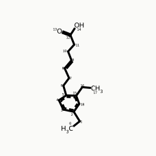 CCc1ccc(CCC=CCCC(=O)O)c(CC)c1